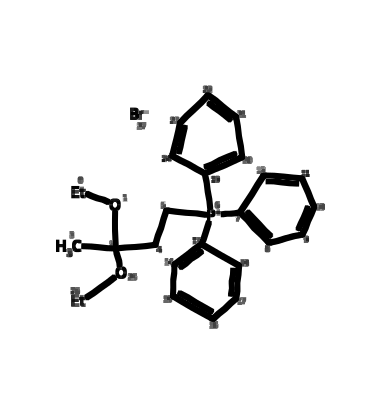 CCOC(C)(CC[P+](c1ccccc1)(c1ccccc1)c1ccccc1)OCC.[Br-]